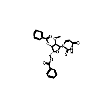 CO[C@@H]1[C@H](OC(=O)c2ccccc2)[C@@H](COC(=O)c2ccccc2)O[C@H]1n1ccc(=O)[nH]c1=S